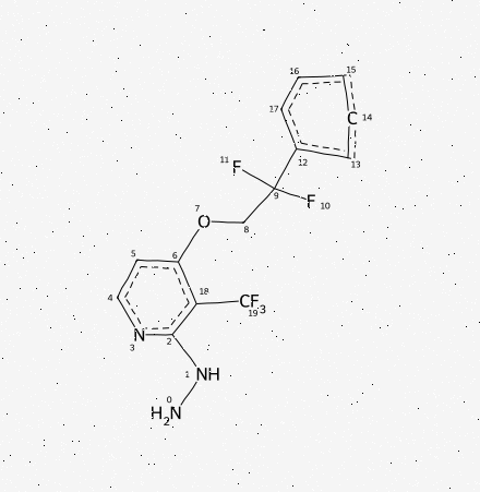 NNc1nccc(OCC(F)(F)c2ccccc2)c1C(F)(F)F